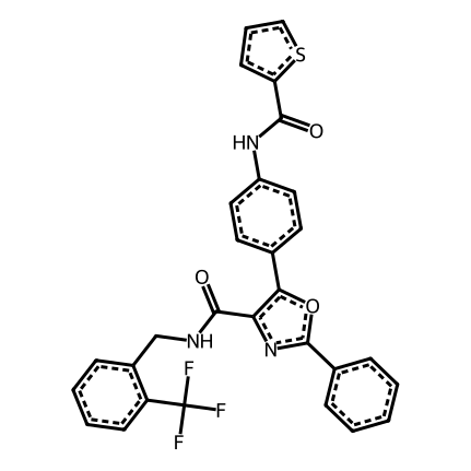 O=C(Nc1ccc(-c2oc(-c3ccccc3)nc2C(=O)NCc2ccccc2C(F)(F)F)cc1)c1cccs1